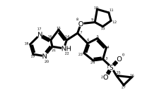 O=S(=O)(c1ccc(C(OC2CCCC2)c2cc3nccnc3[nH]2)cc1)C1CC1